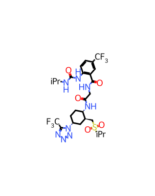 CC(C)NC(=O)Nc1ccc(C(F)(F)F)cc1C(=O)NCC(=O)N[C@H]1CC[C@@H](n2nnnc2C(F)(F)F)C[C@@H]1CS(=O)(=O)C(C)C